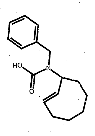 O=C(O)N(Cc1ccccc1)C1/C=C/CCCCC1